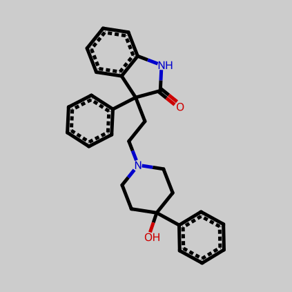 O=C1Nc2ccccc2C1(CCN1CCC(O)(c2ccccc2)CC1)c1ccccc1